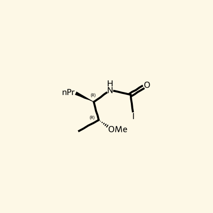 CCC[C@@H](NC(=O)I)[C@@H](C)OC